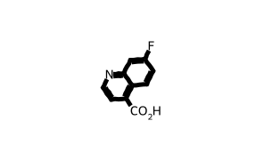 O=C(O)c1ccnc2cc(F)ccc12